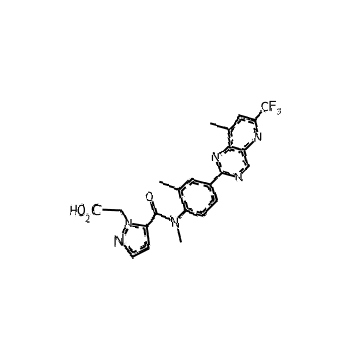 Cc1cc(-c2ncc3nc(C(F)(F)F)cc(C)c3n2)ccc1N(C)C(=O)c1ccnn1CC(=O)O